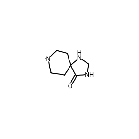 O=C1NCNC12CC[N]CC2